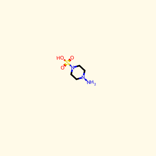 NN1CCN(S(=O)(=O)O)CC1